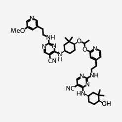 COc1cncc(CCNc2ncc(C#N)c(N[C@@H]3CC[C@H](OC(C)Oc4cc(CCNc5ncc(C#N)c(N[C@@H]6CC[C@H](O)C(C)(C)C6)n5)ccn4)C(C)(C)C3)n2)c1